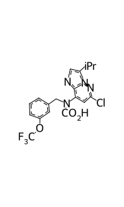 CC(C)c1cnc2c(N(Cc3cccc(OC(F)(F)F)c3)C(=O)O)cc(Cl)nn12